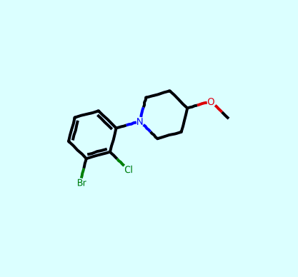 COC1CCN(c2cccc(Br)c2Cl)CC1